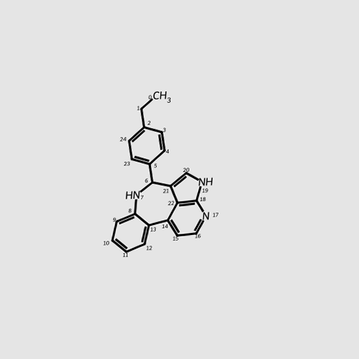 CCc1ccc(C2Nc3ccccc3-c3ccnc4[nH]cc2c34)cc1